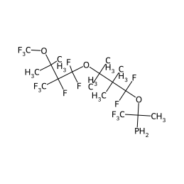 CC(C)(OC(F)(F)C(F)(C(F)(F)F)C(C)(C)OC(F)(F)F)C(C)(C)C(F)(F)OC(C)(P)C(F)(F)F